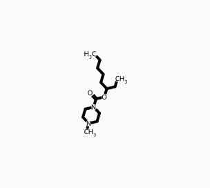 CCCCCC(CC)OC(=O)N1CCN(C)CC1